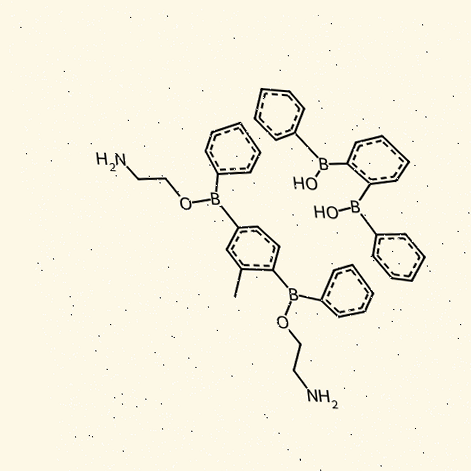 Cc1cc(B(OCCN)c2ccccc2)ccc1B(OCCN)c1ccccc1.OB(c1ccccc1)c1ccccc1B(O)c1ccccc1